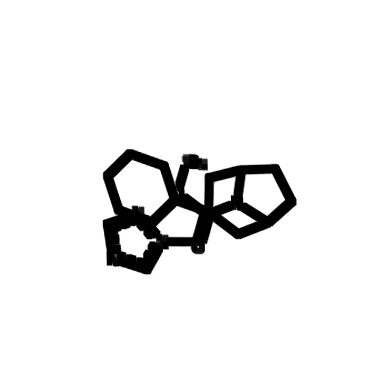 CC(C)(C)OC(=O)N1C2CCC1CC(Cn1cncn1)(C1CCCCC1)C2